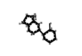 Cc1ccccc1-c1ncc2nc[nH]c2n1